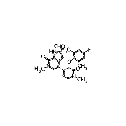 Cc1cc(F)cc(C)c1Oc1c(-c2cn(C)c(=O)c3[nH]c(C=O)cc23)ccn(C)c1=O